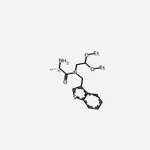 CCOC(CN(Cc1csc2ccccc12)C(=O)[C@H](C)N)OCC